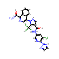 NC(=O)c1ncc(-n2ncc(C(=O)Nc3cnc(-n4nccn4)c(Cl)c3)c2C(F)(F)F)c2ccccc12